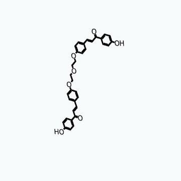 O=C(C=Cc1ccc(OCCOCCOc2ccc(C=CC(=O)c3ccc(O)cc3)cc2)cc1)c1ccc(O)cc1